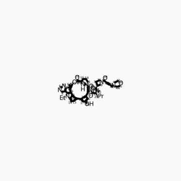 CCn1c(-c2cncnc2)c2c3cc(ccc31)-c1cc(O)cc(c1)C[C@H](NC(=O)[C@H](C(C)C)N(C)C(=O)[C@H]1CCN(C(=O)C#CCN3CCOCC3)C1)C(=O)N1CCC[C@H](N1)C(=O)OCC(C)(C)C2